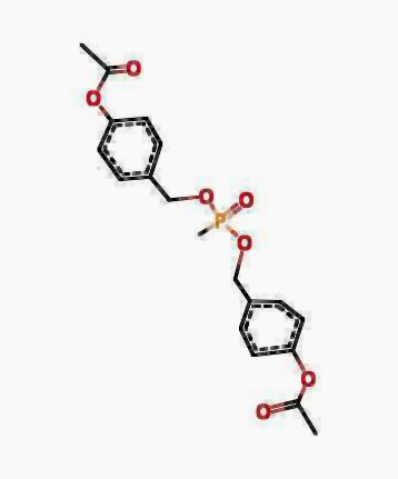 CC(=O)Oc1ccc(COP(C)(=O)OCc2ccc(OC(C)=O)cc2)cc1